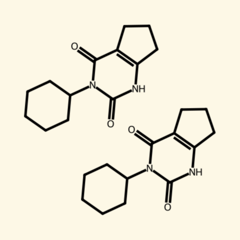 O=c1[nH]c2c(c(=O)n1C1CCCCC1)CCC2.O=c1[nH]c2c(c(=O)n1C1CCCCC1)CCC2